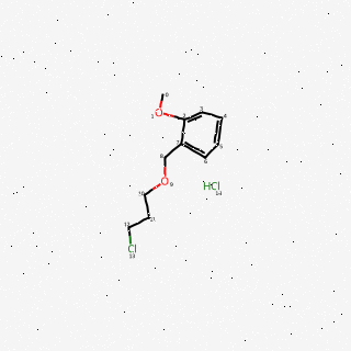 COc1ccccc1COCCCCl.Cl